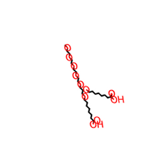 COCCOCCOCCOCCOCC(COCCCCCCCC(=O)O)OCCCCCCCC(=O)O